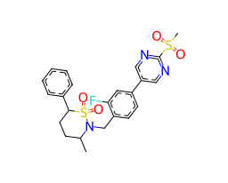 CC1CCC(c2ccccc2)S(=O)(=O)N1Cc1ccc(-c2cnc(S(C)(=O)=O)nc2)cc1F